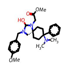 COC(=O)CN1C(O)N(Cc2ccc(OC)cc2)C[C@]12CC[C@](c1ccccc1)(N(C)C)CC2